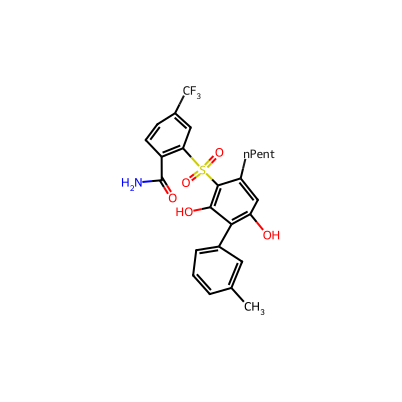 CCCCCc1cc(O)c(-c2cccc(C)c2)c(O)c1S(=O)(=O)c1cc(C(F)(F)F)ccc1C(N)=O